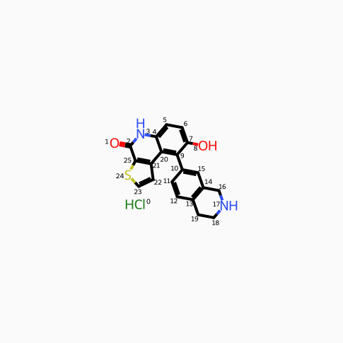 Cl.O=c1[nH]c2ccc(O)c(-c3ccc4c(c3)CNCC4)c2c2ccsc12